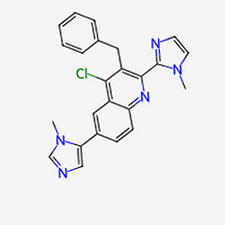 Cn1cncc1-c1ccc2nc(-c3nccn3C)c(Cc3ccccc3)c(Cl)c2c1